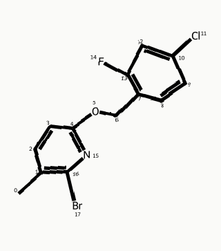 Cc1ccc(OCc2ccc(Cl)cc2F)nc1Br